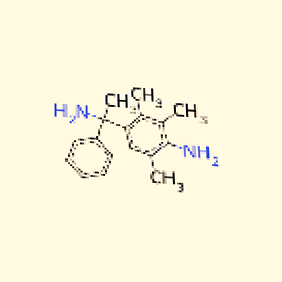 Cc1cc(C(C)(N)c2ccccc2)c(C)c(C)c1N